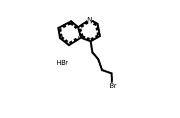 Br.BrCCCCc1ccnc2ccccc12